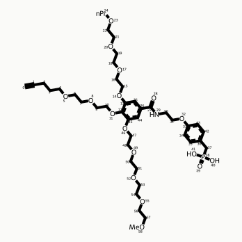 C#CCCCOCCOCCOc1c(OCCOCCOCCOCCC)cc(C(=O)NCCOc2ccc(CP(=O)(O)O)cc2)cc1OCCOCCOCCOCCOC